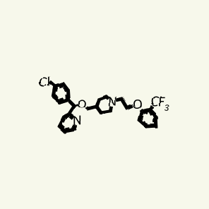 FC(F)(F)c1ccccc1OCCN1CCC(CO[C@H](c2ccc(Cl)cc2)c2ccccn2)CC1